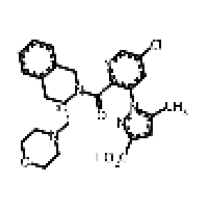 Cc1cc(C(=O)O)nn1-c1cc(Cl)cnc1C(=O)N1Cc2ccccc2C[C@H]1CN1CCOCC1